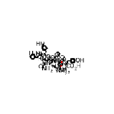 NCCCC[C@H](NC(=O)[C@H](CCC(N)=O)NC(=O)[C@H](Cc1ccc(O)cc1)NC(=O)[C@@H](N)Cc1ccccc1)C(=O)N[C@@H](Cc1ccccc1)C(=O)N1CCC[C@H]1C(=O)N[C@@H](CCC(N)=O)C(=O)N[C@@H](Cc1ccc(O)cc1)C(=O)O